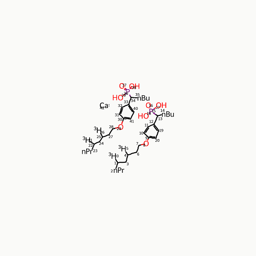 [3H]C(CCC)CC([3H])CCOc1ccc(C(CCCC)P(=O)(O)O)cc1.[3H]C(CCC)CC([3H])CCOc1ccc(C(CCCC)P(=O)(O)O)cc1.[Ca]